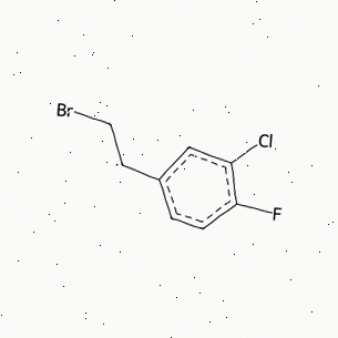 Fc1ccc([CH]CBr)cc1Cl